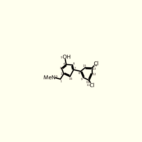 CNCc1cc(O)cc(-c2cc(Cl)cc(Cl)c2)c1